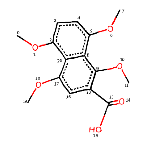 COc1ccc(OC)c2c(OC)c(C(=O)O)cc(OC)c12